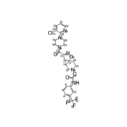 O=C(Nc1cccc(C(F)(F)F)c1)ON1CCC2(CC1)CC(C(=O)N1CCN(c3ncccc3Cl)CC1)=NO2